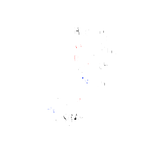 COC(=O)C1(CCN(C)C)C(CCCB2OC(C)(C)C(C)(C)O2)CCN1C(=O)O